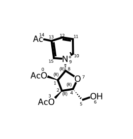 CC(=O)O[C@@H]1[C@H](OC(C)=O)[C@@H](CO)O[C@H]1[n+]1cccc(C(C)=O)c1